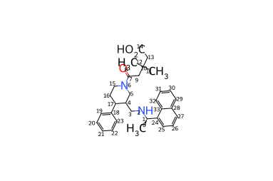 C[C@@H](NCC1CN(C(=O)CC(C)(C)CC(=O)O)CCC1c1ccccc1)c1cccc2ccccc12